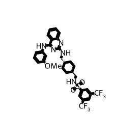 COc1cccc(Nc2nc(NC[C@H]3CC[C@H](CNS(=O)(=O)c4cc(C(F)(F)F)cc(C(F)(F)F)c4)CC3)nc3ccccc23)c1